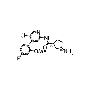 COc1cc(F)ccc1-c1cc(NC(=O)[C@H]2CC[C@@H](N)C2)ncc1Cl